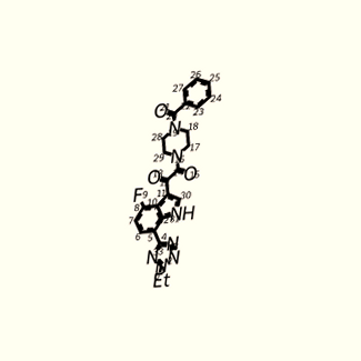 CCn1nnc(-c2ccc(F)c3c(C(=O)C(=O)N4CCN(C(=O)c5ccccc5)CC4)c[nH]c23)n1